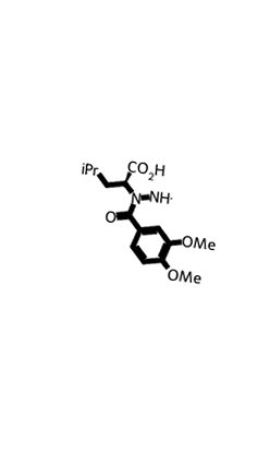 COc1ccc(C(=O)N([NH])[C@@H](CC(C)C)C(=O)O)cc1OC